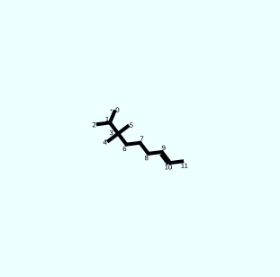 [CH2]C(C)C(C)(C)CCCC=CC